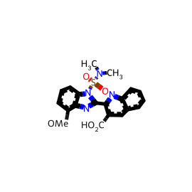 COc1cccc2c1nc(-c1nc3ccccc3cc1C(=O)O)n2S(=O)(=O)N(C)C